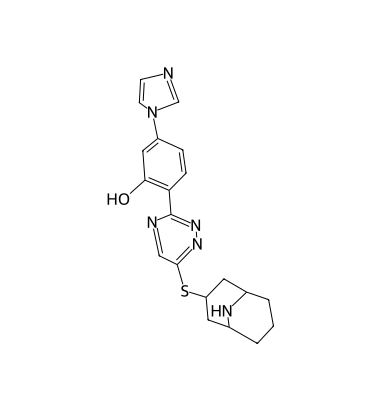 Oc1cc(-n2ccnc2)ccc1-c1ncc(SC2CC3CCCC(C2)N3)nn1